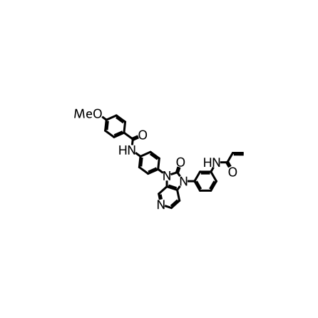 C=CC(=O)Nc1cccc(-n2c(=O)n(-c3ccc(NC(=O)c4ccc(OC)cc4)cc3)c3cnccc32)c1